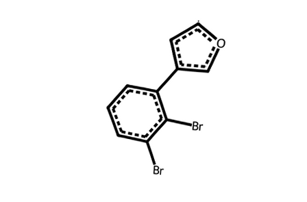 Brc1cccc(-c2c[c]oc2)c1Br